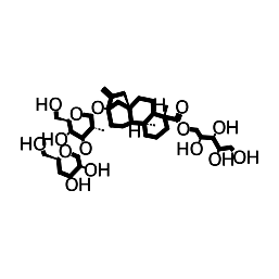 C=C1C[C@@]23CC[C@H]4[C@@](C)(CCC[C@@]4(C)C(=O)OC[C@@H](O)[C@H](O)[C@@H](O)CO)[C@@H]2CC[C@]1(O[C@@H]1O[C@H](CO)[C@@H](O)[C@H](O[C@@H]2O[C@H](CO)C[C@H](O)[C@H]2O)[C@H]1C)C3